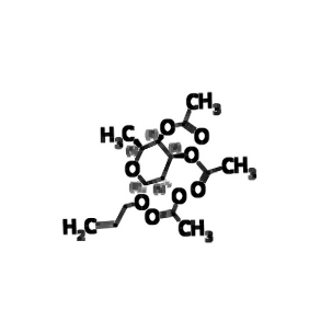 C=CCO[C@@H]1O[C@@H](C)[C@@H](OC(C)=O)[C@@H](OC(C)=O)[C@@H]1OC(C)=O